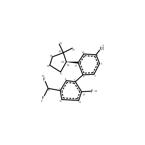 CCc1ccc(-c2cc(C(F)F)ccc2F)c([C@H]2CCCC2(C)C)c1